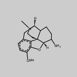 COc1ccc2c3c1O[C@H]1C(N)CCC4[C@@H](C2)N(C)CC[C@@]341